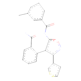 Cc1cccc(C(=O)Nc2onc(-c3ccsc3)c2-c2ccccc2C(N)=O)c1